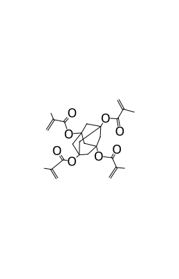 C=C(C)C(=O)OC12CC3(OC(=O)C(=C)C)CC(OC(=O)C(=C)C)(C1)CC(OC(=O)C(=C)C)(C2)C3